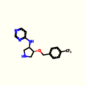 FC(F)(F)c1ccc(CO[C@@H]2CNC[C@H]2Nc2ccncn2)cc1